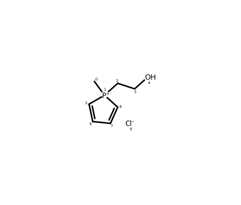 C[P+]1(CCO)C=CC=C1.[Cl-]